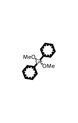 C[O][Ge]([O]C)([c]1ccccc1)[c]1ccccc1